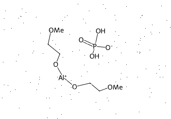 COCC[O][Al+][O]CCOC.O=P([O-])(O)O